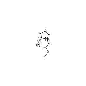 C#N.CCCCN1CCCC1